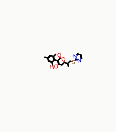 Cc1cc(C)c(C2=C(O)CC(C(C)CSc3ncccn3)OC2=O)c(C)c1